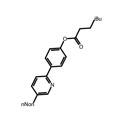 CCCCCCCCCc1ccc(-c2ccc(OC(=O)CCC(C)CC)cc2)nc1